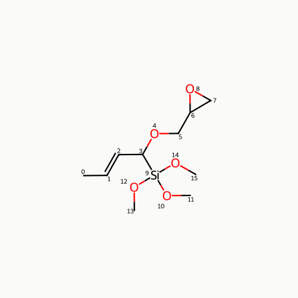 CC=CC(OCC1CO1)[Si](OC)(OC)OC